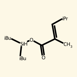 CCC(C)[SiH](OC(=O)C(C)=CC(C)C)C(C)CC